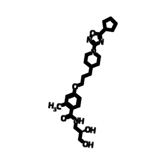 Cc1cc(OCCCC2CCN(c3noc(C4CCCC4)n3)CC2)ccc1C(=O)NC[C@H](O)CO